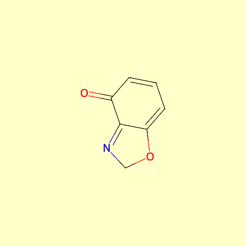 O=C1C=CC=C2OCN=C12